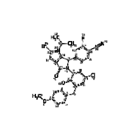 COc1ccc(Cn2cc(Cl)cc(N3C(=O)c4cc(Br)n(C(C)C)c4C3c3ccc(C#N)c(F)c3)c2=O)cc1